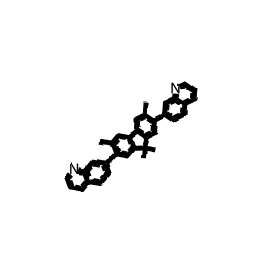 Cc1cc2c(cc1-c1ccc3cccnc3c1)C(C)(C)c1cc(-c3ccc4cccnc4c3)c(C)cc1-2